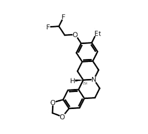 CCc1cc2c(cc1OCC(F)F)C[C@H]1c3cc4c(cc3CCN1C2)OCO4